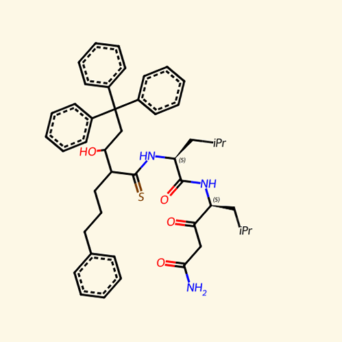 CC(C)C[C@H](NC(=O)[C@H](CC(C)C)NC(=S)C(CCCc1ccccc1)C(O)CC(c1ccccc1)(c1ccccc1)c1ccccc1)C(=O)CC(N)=O